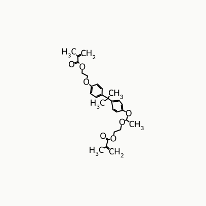 C=C(C)C(=O)OCCOc1ccc(C(C)(C)c2ccc(OC(C)OCCOC(=O)C(=C)C)cc2)cc1